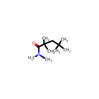 CN(C)C(=O)C(C)(C)CC(C)(C)C